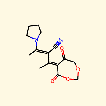 C/C(=C(C#N)\C(C)=C1/C(=O)COCOC1=O)N1CCCC1